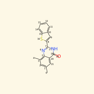 Cc1cc(C)c2nc(-c3cc4ccccc4s3)[nH]c(=O)c2c1